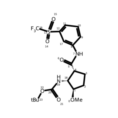 CO[C@@H]1CC[C@@H](C(=O)Nc2cccc(S(=O)(=O)C(F)(F)F)c2)[C@H]1NC(=O)OC(C)(C)C